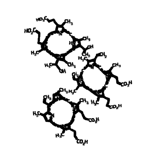 C=CC1=C(C)c2cc3[nH]c(cc4nc(cc5[nH]c(cc1n2)c(C)c5CCC(=O)O)C(CCC(=O)O)=C4C)c(C)c3C=C.C=Cc1c2nc(cc3[nH]c(cc4nc(cc5[nH]c1cc5C)C(C)=C4CCC(=O)O)c(CCC(=O)O)c3C)C=C2C.CC1=C(CCC(=O)O)c2cc3[nH]c(cc4nc(cc5[nH]c(cc1n2)c(C)c5C(C)O)C(C)=C4C(C)O)c(C)c3CCC(=O)O